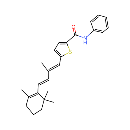 CC1=C(C=C/C(C)=C/c2ccc(C(=O)Nc3ccccc3)s2)C(C)(C)CCC1